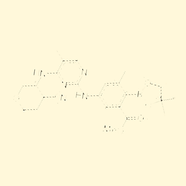 COC(=O)c1cc(Nc2ncc(C)c(NC3COCCC3C#N)n2)cc(C)c1B1OCC(C)(C)O1